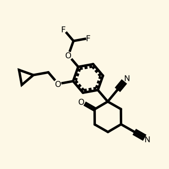 N#CC1CCC(=O)C(C#N)(c2ccc(OC(F)F)c(OCC3CC3)c2)C1